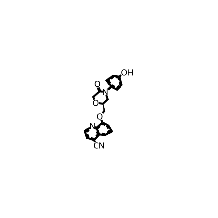 N#Cc1ccnc2c(OC[C@@H]3CN(c4ccc(O)cc4)C(=O)CO3)cccc12